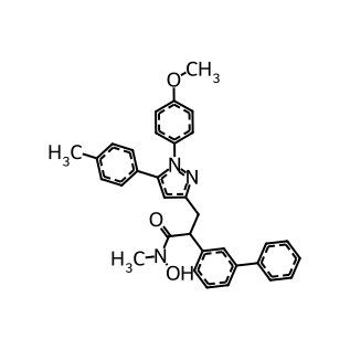 COc1ccc(-n2nc(CC(C(=O)N(C)O)c3cccc(-c4ccccc4)c3)cc2-c2ccc(C)cc2)cc1